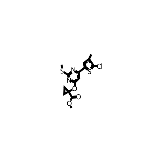 COC(=O)C1(Oc2cc(-c3cc(C)c(Cl)s3)nc(SC)n2)CC1